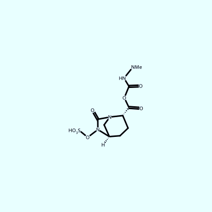 CNNC(=O)OC(=O)[C@@H]1CC[C@@H]2CN1C(=O)N2OS(=O)(=O)O